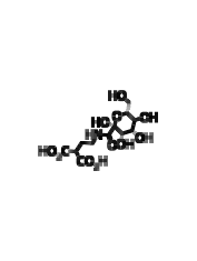 O=C(O)C(CCNC(=O)[C@@]1(O)O[C@H](CO)[C@@H](O)[C@H](O)[C@@H]1O)C(=O)O